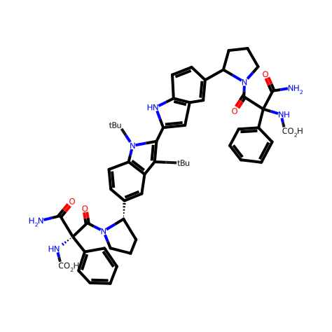 CC(C)(C)c1c(-c2cc3cc(C4CCCN4C(=O)C(NC(=O)O)(C(N)=O)c4ccccc4)ccc3[nH]2)n(C(C)(C)C)c2ccc([C@@H]3CCCN3C(=O)[C@](NC(=O)O)(C(N)=O)c3ccccc3)cc12